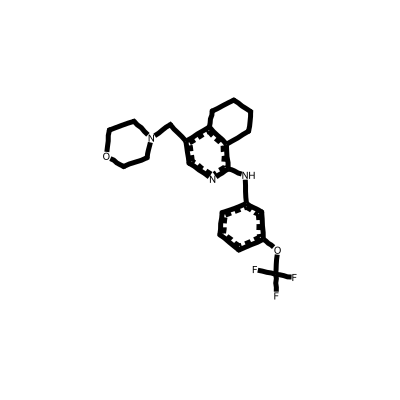 FC(F)(F)Oc1cccc(Nc2ncc(CN3CCOCC3)c3c2CCCC3)c1